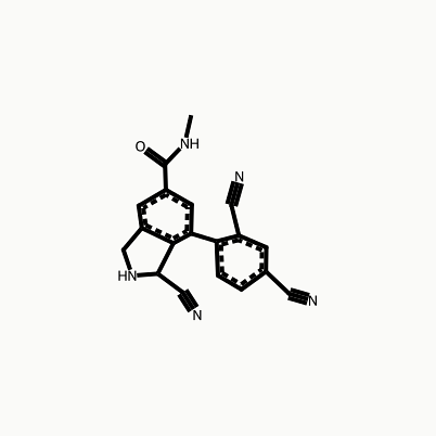 CNC(=O)c1cc2c(c(-c3ccc(C#N)cc3C#N)c1)C(C#N)NC2